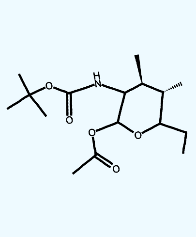 CCC1OC(OC(C)=O)C(NC(=O)OC(C)(C)C)[C@@H](C)[C@@H]1C